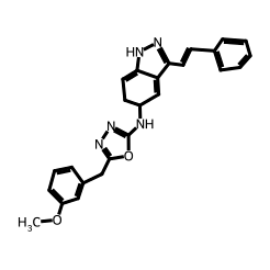 COc1cccc(Cc2nnc(NC3C=c4c(/C=C/c5ccccc5)n[nH]c4=CC3)o2)c1